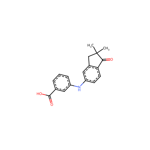 CC1(C)Cc2cc(Nc3cccc(C(=O)O)c3)ccc2C1=O